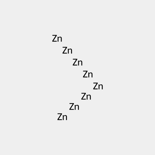 [Zn].[Zn].[Zn].[Zn].[Zn].[Zn].[Zn].[Zn]